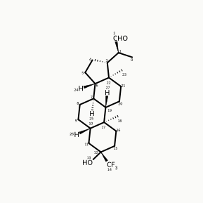 C[C@H](C=O)[C@H]1CC[C@H]2[C@@H]3CC[C@H]4C[C@](O)(C(F)(F)F)CC[C@]4(C)[C@H]3CC[C@]12C